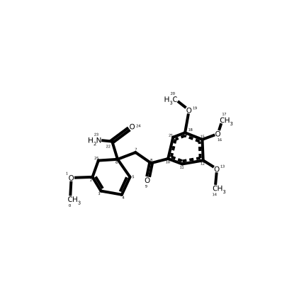 COC1=CC=CC(CC(=O)c2cc(OC)c(OC)c(OC)c2)(C(N)=O)C1